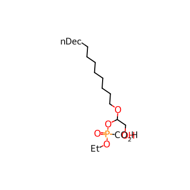 CCCCCCCCCCCCCCCCCCOC(CO)OP(=O)(OCC)C(=O)O